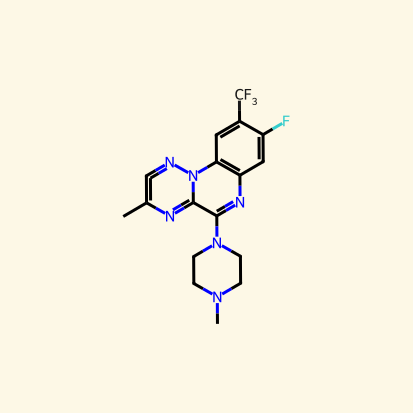 CC1=C=NN2C(=N1)C(N1CCN(C)CC1)=Nc1cc(F)c(C(F)(F)F)cc12